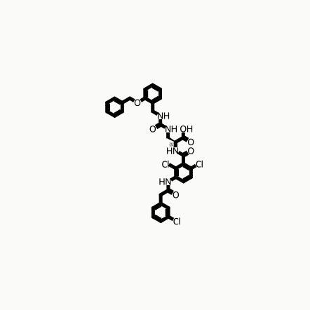 O=C(Cc1cccc(Cl)c1)Nc1ccc(Cl)c(C(=O)N[C@@H](CNC(=O)NCc2ccccc2OCc2ccccc2)C(=O)O)c1Cl